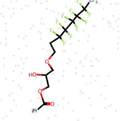 CC(C)C(=O)OCC(O)COCCC(F)(F)C(F)(F)C(F)(F)C(F)(F)C(F)(F)C(F)(F)F